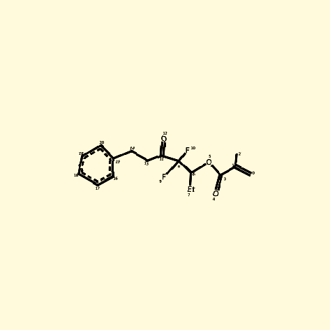 C=C(C)C(=O)OC(CC)C(F)(F)C(=O)CCc1ccccc1